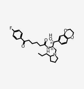 CCCC1CCCN1C[C@@H](NC(=O)CCCCC(=O)c1ccc(F)cc1)[C@H](O)c1ccc2c(c1)OCCO2